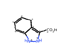 O=C(O)C1=C2CC=CC=C2NN1